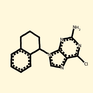 Nc1nc(Cl)c2ncn(C3CCCc4ccccc43)c2n1